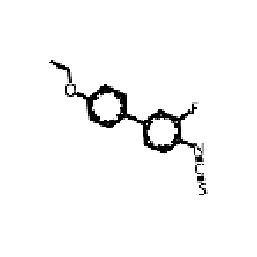 CCOc1ccc(-c2ccc(N=C=S)c(F)c2)cc1